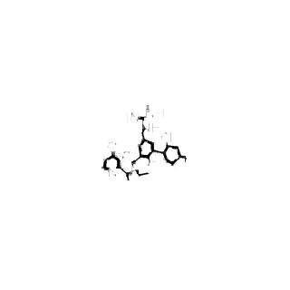 CNC(=N)NCc1cc2c(c(-c3ccc(F)cc3Cl)c1)OCCN(C(C)c1cc(OC)ccn1)C2=O